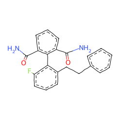 NC(=O)c1cccc(C(N)=O)c1-c1c(F)cccc1CCc1ccccc1